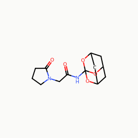 O=C(CN1CCCC1=O)NC12OC3CC(CC(C3)O1)O2